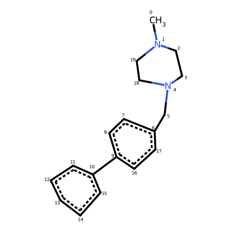 CN1CCN(Cc2ccc(-c3c[c]ccc3)cc2)CC1